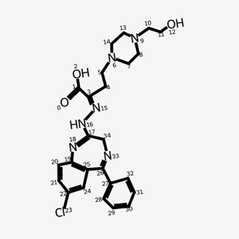 O=C(O)/C(CCN1CCN(CCO)CC1)=N\NC1=Nc2ccc(Cl)cc2C(c2ccccc2)=NC1